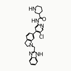 O=C(Nc1cc(-c2ccc3c(c2)N(Cc2nc4ccccc4[nH]2)CC3)c(Cl)cn1)C1CCCNC1